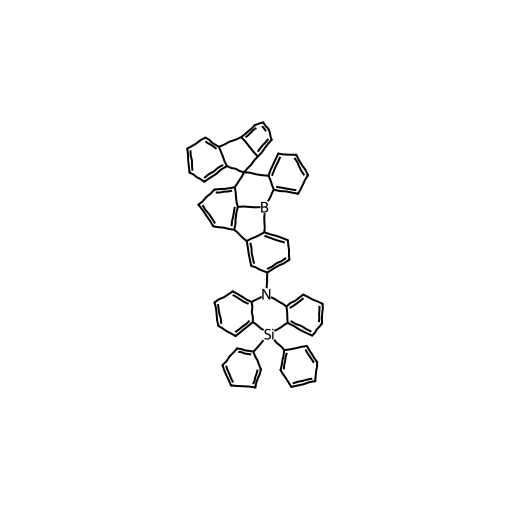 c1ccc([Si]2(c3ccccc3)c3ccccc3N(c3ccc4c(c3)-c3cccc5c3B4c3ccccc3C53c4ccccc4-c4ccccc43)c3ccccc32)cc1